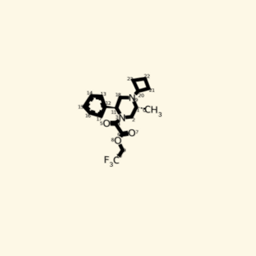 C[C@@H]1CN(C(=O)C(=O)OCC(F)(F)F)[C@@H](c2ccccc2)CN1C1CCC1